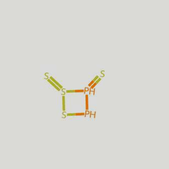 S=[PH]1PSS1=S